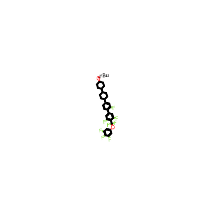 CCCCOC1CCC(C2CCC(c3ccc(-c4cc(F)c(C(F)(F)Oc5cc(F)c(F)c(F)c5)c(F)c4)c(F)c3)CC2)CC1